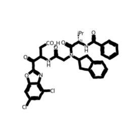 CC(C)[C@H](NC(=O)c1ccccc1)C(=O)N(CC(=O)NC(CC(=O)O)C(=O)c1nc2c(Cl)cc(Cl)cc2o1)C1Cc2ccccc2C1